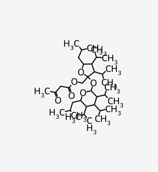 CC(=O)CC(=O)OCC1(OC2OC(CC(C)C)C(C(C)C)C(C(C)C)C2C(C)C)OC(CC(C)C)C(C(C)C)C1C(C)C